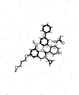 COCCCOc1cc(CN(C(=O)C2CNC[C@@H](NC(C)=O)[C@@H]2c2cccc(-c3ccccc3)c2)C2CC2)cc(OC)c1